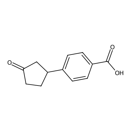 O=C1CCC(c2ccc(C(=O)O)cc2)C1